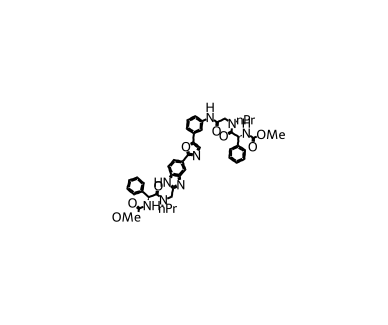 CCCN(CC(=O)Nc1cccc(-c2cnc(-c3ccc4[nH]c(CN(CCC)C(=O)[C@H](NC(=O)OC)c5ccccc5)nc4c3)o2)c1)C(=O)[C@H](NC(=O)OC)c1ccccc1